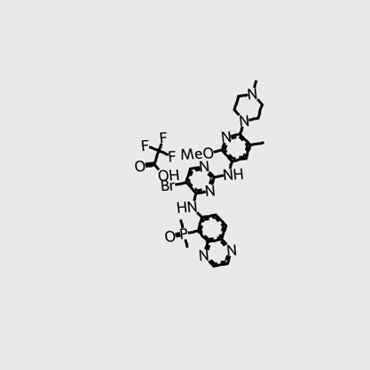 COc1nc(N2CCN(C)CC2)c(C)cc1Nc1ncc(Br)c(Nc2ccc3nccnc3c2P(C)(C)=O)n1.O=C(O)C(F)(F)F